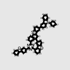 c1ccc(-c2nc(-c3ccc4c(c3)oc3ccccc34)nc(-c3cccc4oc5ccc(-c6ccc7sc8ccc(-c9ccc%10c(c9)c9ccccc9n%10-c9ccccc9)cc8c7c6)cc5c34)n2)cc1